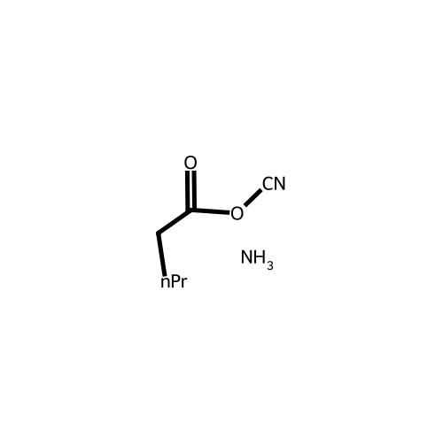 CCCCC(=O)OC#N.N